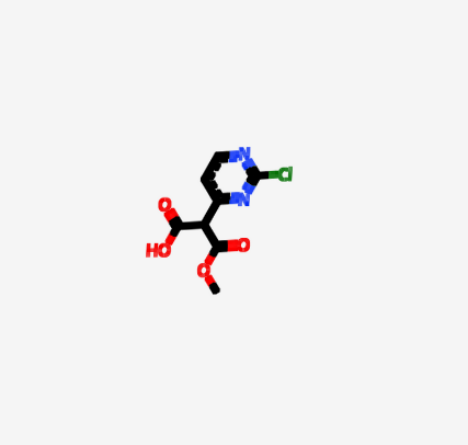 COC(=O)C(C(=O)O)c1ccnc(Cl)n1